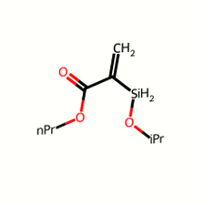 C=C([SiH2]OC(C)C)C(=O)OCCC